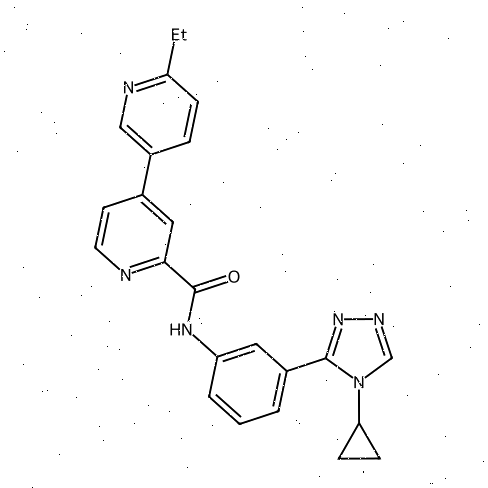 CCc1ccc(-c2ccnc(C(=O)Nc3cccc(-c4nncn4C4CC4)c3)c2)cn1